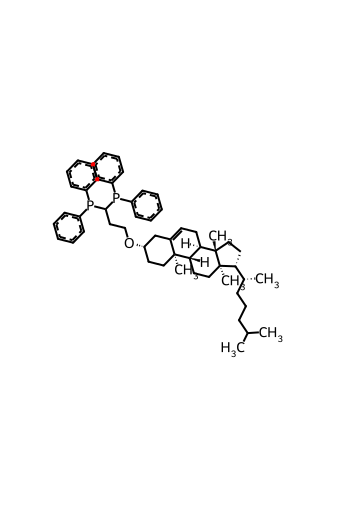 CC(C)CCC[C@@H](C)[C@H]1CC[C@@]2(C)[C@@H]3CC=C4C[C@@H](OCCC(P(c5ccccc5)c5ccccc5)P(c5ccccc5)c5ccccc5)CC[C@]4(C)[C@H]3CC[C@]12C